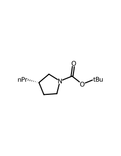 CCC[C@H]1CCN(C(=O)OC(C)(C)C)C1